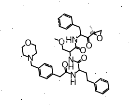 COCC(NC(=O)C(CCc1ccccc1)NC(=O)Cc1ccc(CN2CCOCC2)cc1)C(=O)NC(Cc1ccccc1)C(=O)[C@@]1(C)CO1